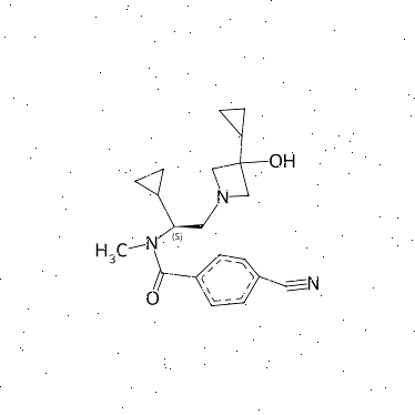 CN(C(=O)c1ccc(C#N)cc1)[C@H](CN1CC(O)(C2CC2)C1)C1CC1